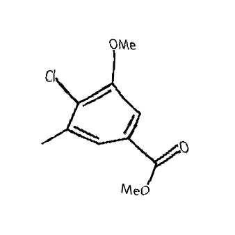 COC(=O)c1cc(C)c(Cl)c(OC)c1